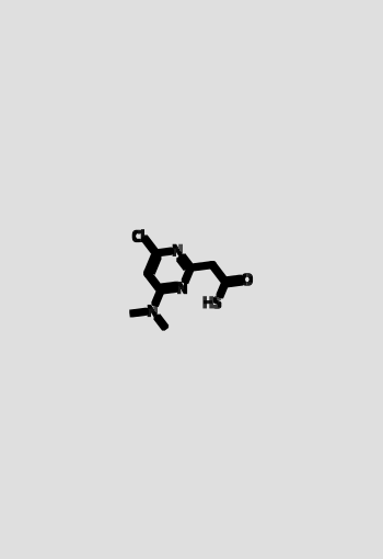 CN(C)c1cc(Cl)nc(CC(=O)S)n1